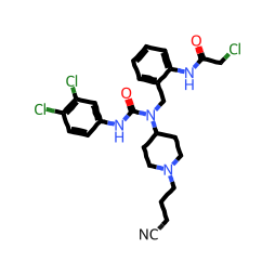 N#CCCCN1CCC(N(Cc2ccccc2NC(=O)CCl)C(=O)Nc2ccc(Cl)c(Cl)c2)CC1